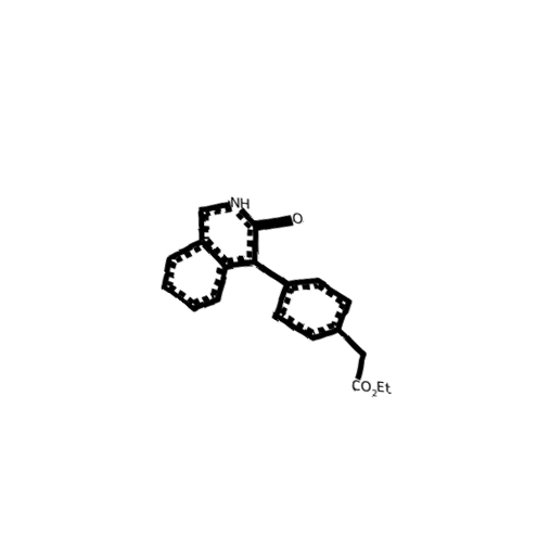 CCOC(=O)Cc1ccc(-c2c(=O)[nH]cc3ccccc23)cc1